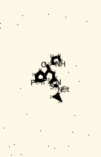 CCN(c1nc(CC(C(=O)[C@@H]2CCCN2)c2ccc(F)cc2)cs1)C1CC1